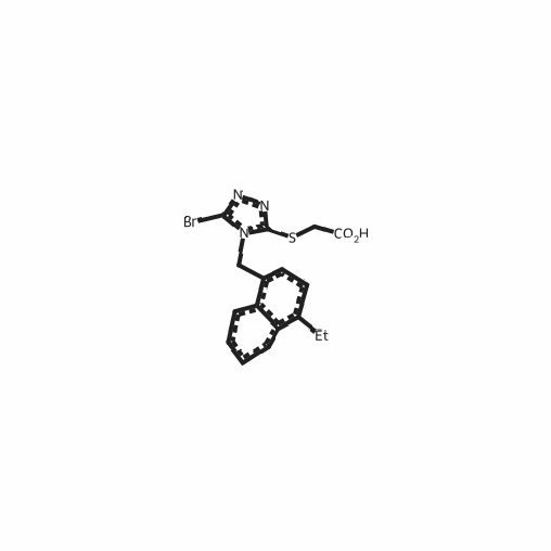 CCc1ccc(Cn2c(Br)nnc2SCC(=O)O)c2ccccc12